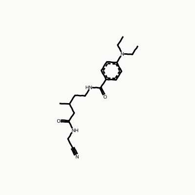 CCN(CC)c1ccc(C(=O)NCCC(C)CC(=O)NCC#N)cc1